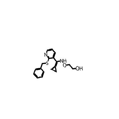 OCCONC(=C1CC1)c1cccnc1SCc1ccccc1